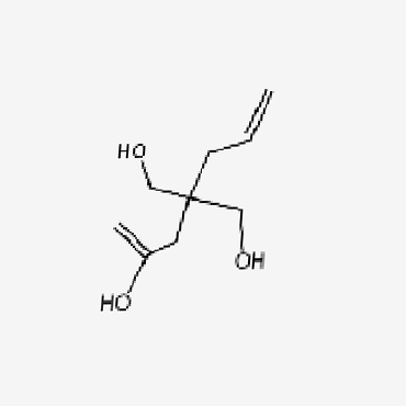 C=CCC(CO)(CO)CC(=C)O